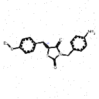 CCOc1ccc(/C=C2\SC(=O)N(Cc3ccc(N)cc3)C2=O)cc1